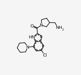 NCC1CCN(C(=O)c2cc3cc(Cl)cc(N4CCCCC4)c3[nH]2)C1